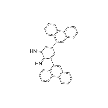 N=C1C=C(c2cc3ccccc3c3ccccc23)C=C(c2cc3ccccc3c3ccccc23)C1=N